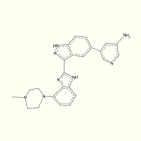 CN1CCN(c2cccc3[nH]c(-c4n[nH]c5ccc(-c6cncc(N)c6)cc45)nc23)CC1